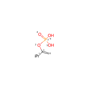 C=C(OP(=O)(O)O)C(C)C